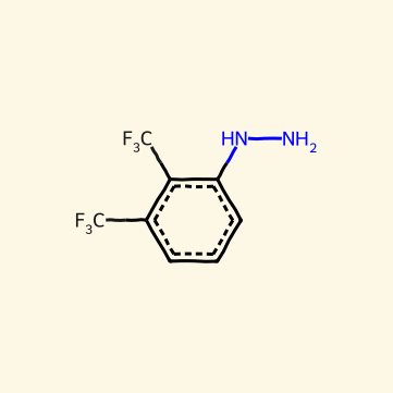 NNc1cccc(C(F)(F)F)c1C(F)(F)F